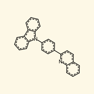 c1ccc2nc(-c3ccc(-n4c5ccccc5c5ccccc54)cc3)ccc2c1